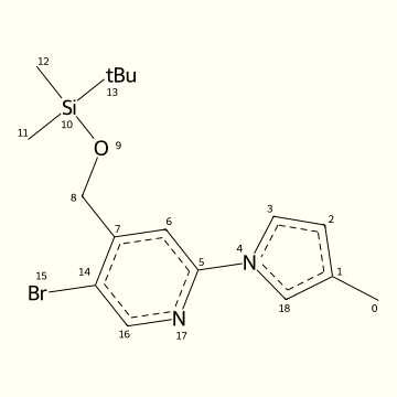 Cc1ccn(-c2cc(CO[Si](C)(C)C(C)(C)C)c(Br)cn2)c1